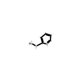 CCC(C)Sc1ccccn1